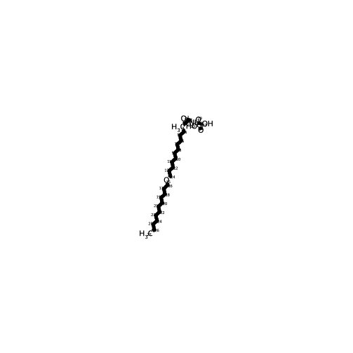 C1CO1.CCCCCCCCCCCCOCCCCCCCCCCCC.N.O=S(=O)(O)O